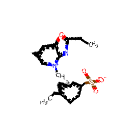 CCc1nc2c(ccc[n+]2C)o1.Cc1ccc(S(=O)(=O)[O-])cc1